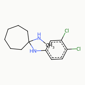 CNC1(Nc2ccc(Cl)c(Cl)c2)CCCCCC1